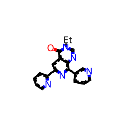 CCn1cnc2c(-c3cccnc3)nc(-c3ccccn3)cc2c1=O